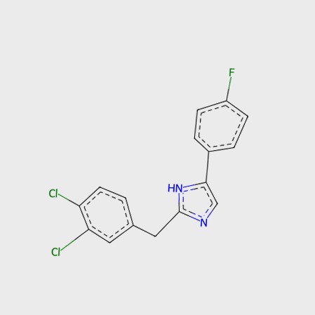 Fc1ccc(-c2cnc(Cc3ccc(Cl)c(Cl)c3)[nH]2)cc1